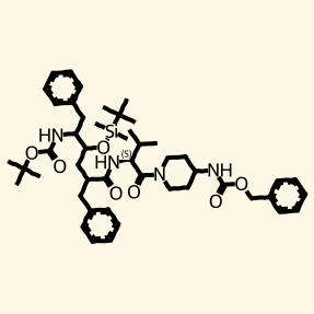 CC(C)[C@H](NC(=O)C(Cc1ccccc1)CC(O[Si](C)(C)C(C)(C)C)C(Cc1ccccc1)NC(=O)OC(C)(C)C)C(=O)N1CCC(NC(=O)OCc2ccccc2)CC1